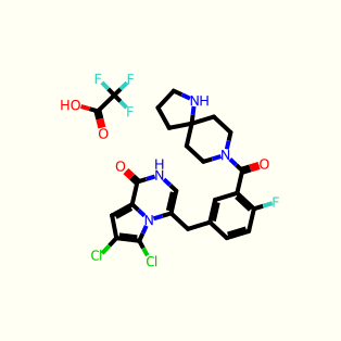 O=C(O)C(F)(F)F.O=C(c1cc(Cc2c[nH]c(=O)c3cc(Cl)c(Cl)n23)ccc1F)N1CCC2(CCCN2)CC1